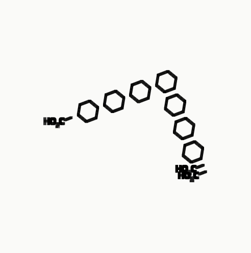 C1CCCCC1.C1CCCCC1.C1CCCCC1.C1CCCCC1.C1CCCCC1.C1CCCCC1.C1CCCCC1.CC(=O)O.CC(=O)O.CC(=O)O